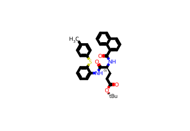 Cc1ccc(Sc2ccccc2NC(=O)[C@H](CCC(=O)OC(C)(C)C)NC(=O)c2cccc3ccccc23)cc1